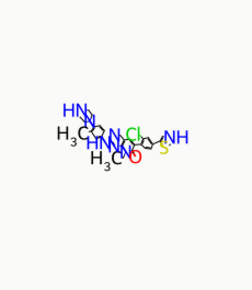 CCn1c(=O)c(-c2ccc(C3=CNCS3)cc2Cl)cc2cnc(Nc3ccc(N4CCNCC4)c(C)c3)nc21